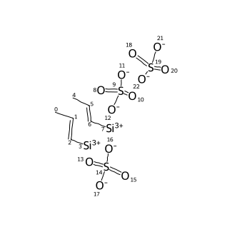 CC=C[Si+3].CC=C[Si+3].O=S(=O)([O-])[O-].O=S(=O)([O-])[O-].O=S(=O)([O-])[O-]